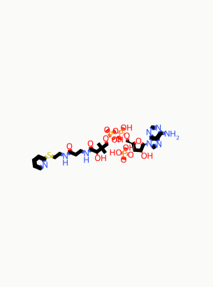 CC(C)(COP(=O)(O)OP(=O)(O)OC[C@H]1O[C@@H](n2cnc3c(N)ncnc32)[C@H](O)[C@@H]1OP(=O)(O)O)[C@@H](O)C(=O)NCCC(=O)NCCSc1ccccn1